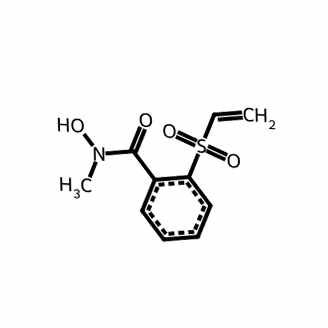 C=CS(=O)(=O)c1ccccc1C(=O)N(C)O